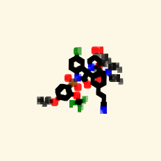 COc1ccc(S(=O)(=O)N2C(=O)C(c3cc(CCC#N)ccc3OC)(N3C[C@H](O)C[C@H]3C(=O)N(C)C)c3cc(Cl)ccc32)c(OC(F)(F)F)c1